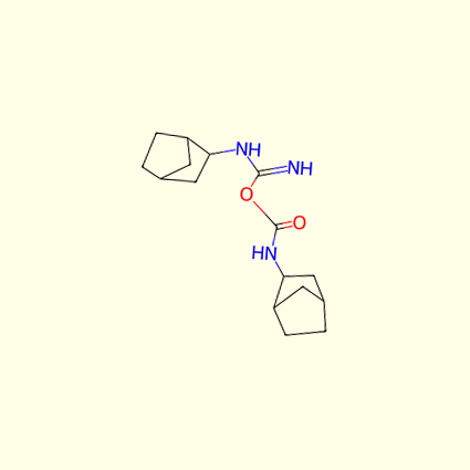 N=C(NC1CC2CCC1C2)OC(=O)NC1CC2CCC1C2